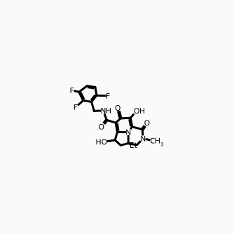 CCC12CC(O)c3c(C(=O)NCc4c(F)ccc(F)c4F)c(=O)c(O)c(n31)C(=O)N(C)C2